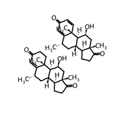 C[C@H]1C[C@@H]2[C@H]([C@@H](O)C[C@]3(C)C(=O)CC[C@@H]23)[C@@]2(C)C=CC(=O)C=C12.C[C@H]1C[C@@H]2[C@H]([C@@H](O)C[C@]3(C)C(=O)CC[C@@H]23)[C@@]2(C)CCC(=O)C=C12